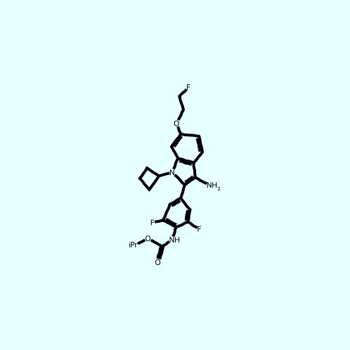 CC(C)OC(=O)Nc1c(F)cc(-c2c(N)c3ccc(OCCF)cc3n2C2CCC2)cc1F